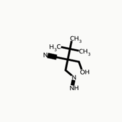 CC(C)(C)C(C#N)(CO)CN=N